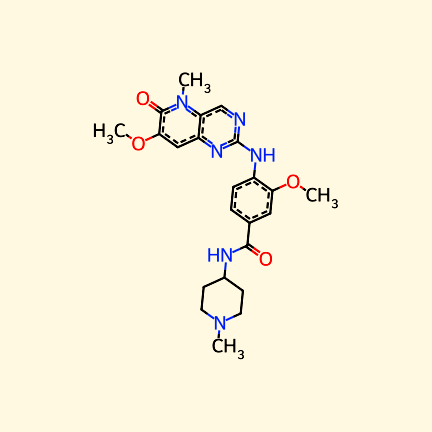 COc1cc(C(=O)NC2CCN(C)CC2)ccc1Nc1ncc2c(cc(OC)c(=O)n2C)n1